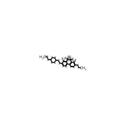 CCCc1ccc2c(c1F)C(F)(F)C(F)(F)c1c-2ccc(CCC2CCC(CCC)CC2)c1F